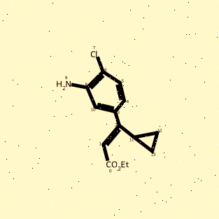 CCOC(=O)/C=C(/c1ccc(Cl)c(N)c1)C1CC1